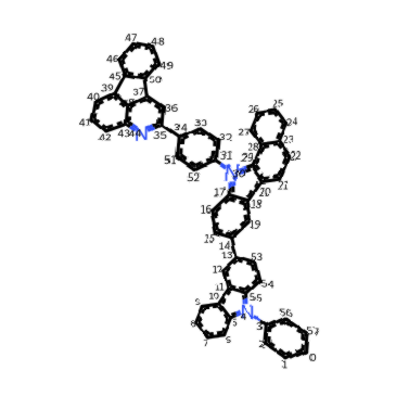 c1ccc(-n2c3ccccc3c3cc(-c4ccc5c(c4)c4ccc6ccccc6c4n5-c4ccc(-c5cc6c7c(cccc7n5)-c5ccccc5-6)cc4)ccc32)cc1